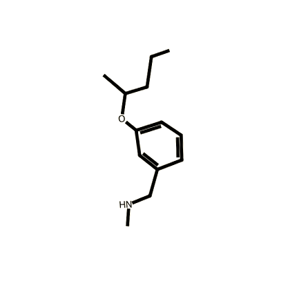 CCCC(C)Oc1cccc(CNC)c1